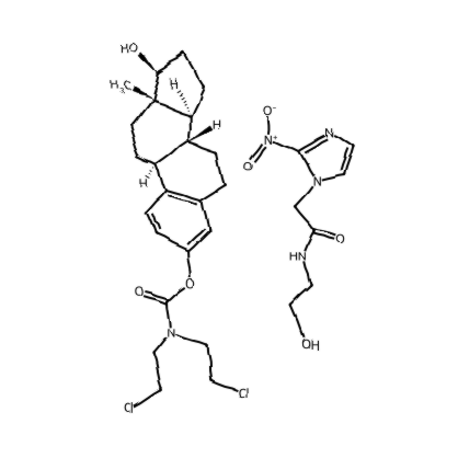 C[C@]12CC[C@@H]3c4ccc(OC(=O)N(CCCl)CCCl)cc4CC[C@H]3[C@@H]1CC[C@@H]2O.O=C(Cn1ccnc1[N+](=O)[O-])NCCO